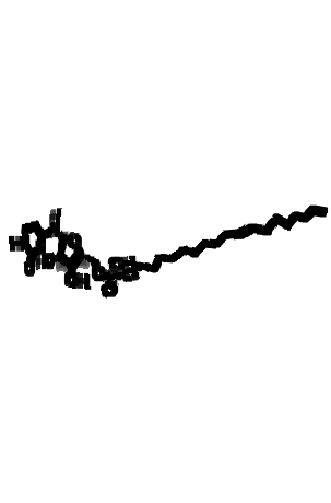 CCCCCCCCCCCCCCCCCCOP(=O)(O)OC[C@H]1O[C@@H](Nc2cc[nH]c(=O)n2)[C@@H](O)[C@@H]1O